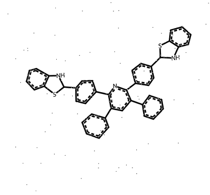 c1ccc(-c2cc(-c3ccccc3)c(-c3ccc(C4Nc5ccccc5S4)cc3)nc2-c2ccc(C3Nc4ccccc4S3)cc2)cc1